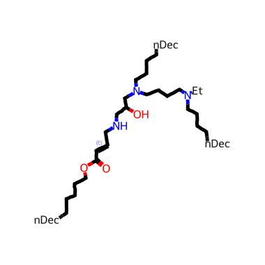 CCCCCCCCCCCCCCCOC(=O)/C=C/CNCC(O)CN(CCCCCCCCCCCCCC)CCCCN(CC)CCCCCCCCCCCCCC